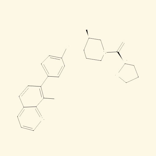 Cc1c(-c2ccc(O[C@H]3CCN(C(=O)[C@H]4CCCO4)C[C@@H]3F)cc2)ccc2cccnc12